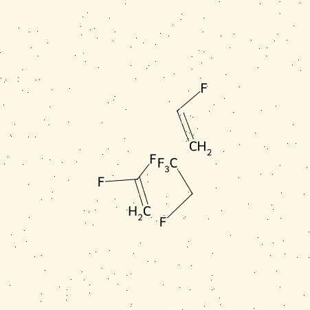 C=C(F)F.C=CF.FCC(F)(F)F